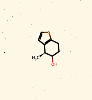 C[C@H]1c2ccsc2CC[C@H]1O